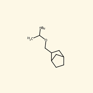 CCCCC(C)OCC1CC2CCC1C2